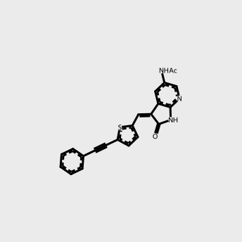 CC(=O)Nc1cnc2c(c1)C(=Cc1ccc(C#Cc3ccccc3)s1)C(=O)N2